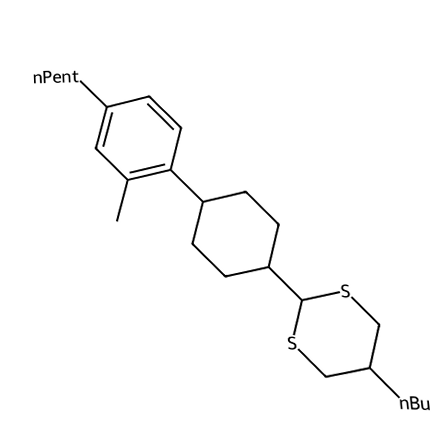 CCCCCc1ccc(C2CCC(C3SCC(CCCC)CS3)CC2)c(C)c1